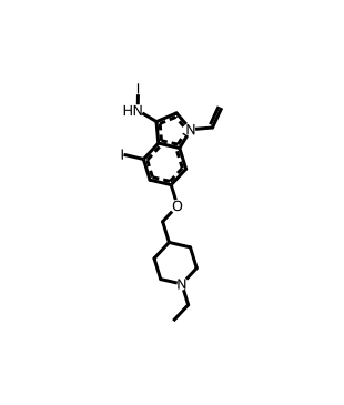 C=Cn1cc(NI)c2c(I)cc(OCC3CCN(CC)CC3)cc21